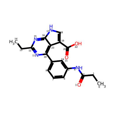 CCC(=O)Nc1cccc(-c2nc(CC)nc3[nH]cc(C(=O)O)c23)c1